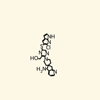 N[C@@H]1c2cccnc2CC12CCN(c1ncc(Sc3cc4cc[nH]c4nc3Cl)nc1CO)CC2